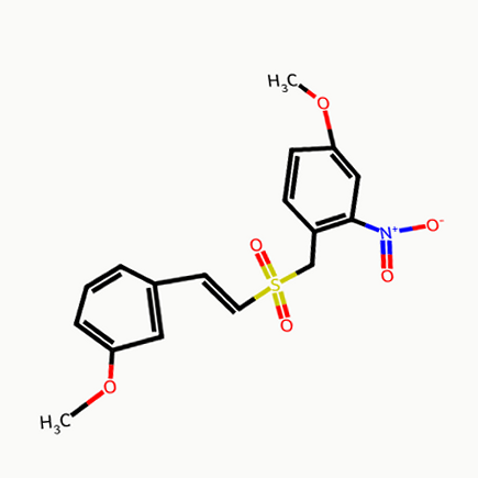 COc1cccc(C=CS(=O)(=O)Cc2ccc(OC)cc2[N+](=O)[O-])c1